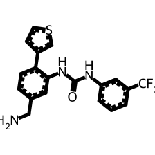 NCc1ccc(-c2ccsc2)c(NC(=O)Nc2cccc(C(F)(F)F)c2)c1